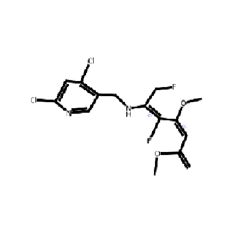 C=C(/C=C(OC)\C(F)=C(/CF)NCc1cnc(Cl)cc1Cl)OC